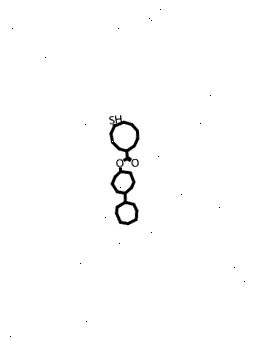 O=C(OC1CCCC(C2CCCCCCC2)CCC1)C1CCCCCC(S)CCC1